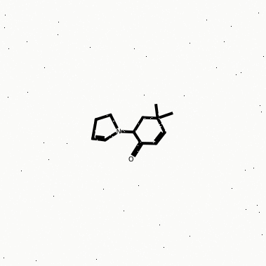 CC1(C)C=CC(=O)C(N2C=CCC2)C1